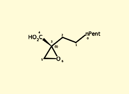 CCCCCCC[C@@]1(C(=O)O)CO1